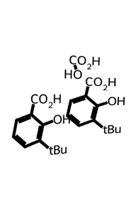 CC(C)(C)c1cccc(C(=O)O)c1O.CC(C)(C)c1cccc(C(=O)O)c1O.O=C(O)O